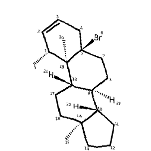 C[C@@H]1C=CC[C@]2(Br)CC[C@H]3[C@@H]4CCC[C@@]4(C)CC[C@@H]3[C@@]12C